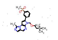 Cc1ncc2cnc3c(cc(-c4cccc(S(C)(=O)=O)c4)n3COCC[Si](C)(C)C)n12